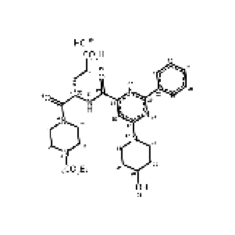 CCOC(=O)N1CCN(C(=O)[C@H](CCC(=O)O)NC(=O)c2cc(N3CCC(O)CC3)nc(-c3ccccc3)n2)CC1.Cl